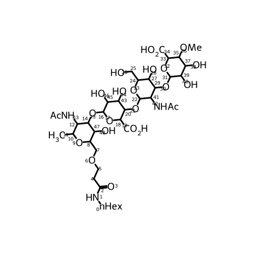 CCCCCCNC(=O)CCOCC1OC(C)C(NC(C)=O)C(OC2OC(C(=O)O)C(OC3OC(CO)C(O)C(OC4OC(C(=O)O)C(OC)C(O)C4O)C3NC(C)=O)C(O)C2O)C1O